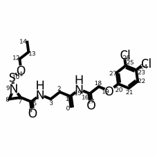 C=C(CCNC(=O)C1CN1SOCCC)NC(=O)COc1ccc(Cl)c(Cl)c1